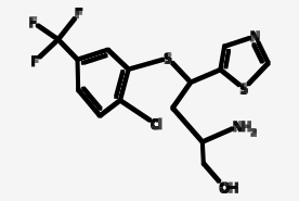 NC(CO)CC(Sc1cc(C(F)(F)F)ccc1Cl)c1cncs1